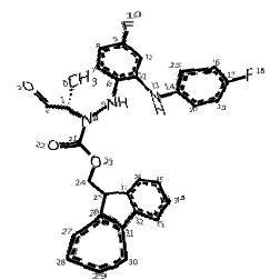 C[C@@H](C=O)N(Nc1ccc(F)cc1Nc1ccc(F)cc1)C(=O)OCC1c2ccccc2-c2ccccc21